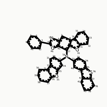 c1ccc(-c2nc3cc4c(oc5ccccc54)c(N(c4ccc5c(c4)oc4ccccc45)c4ccc5sc6ccccc6c5c4)c3o2)cc1